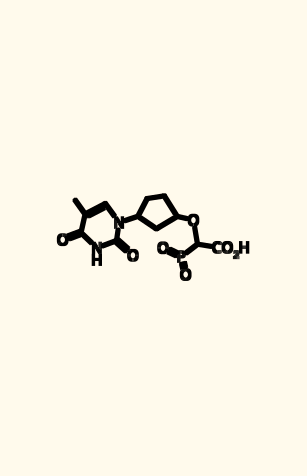 Cc1cn(C2CCC(OC(C(=O)O)P(=O)=O)C2)c(=O)[nH]c1=O